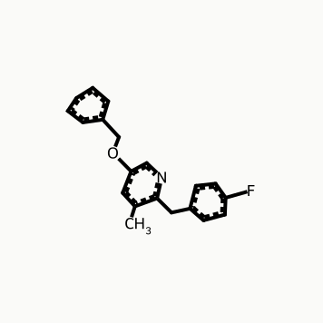 Cc1cc(OCc2ccccc2)cnc1Cc1ccc(F)cc1